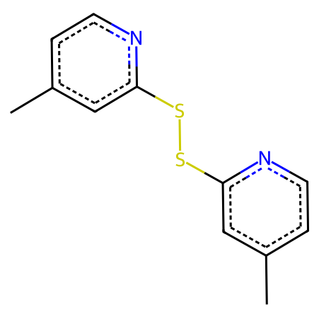 Cc1ccnc(SSc2cc(C)ccn2)c1